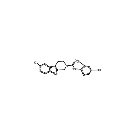 O=C(Nc1ccc(O)cc1Cl)N1CCc2c([nH]c3ccc(Cl)cc23)C1